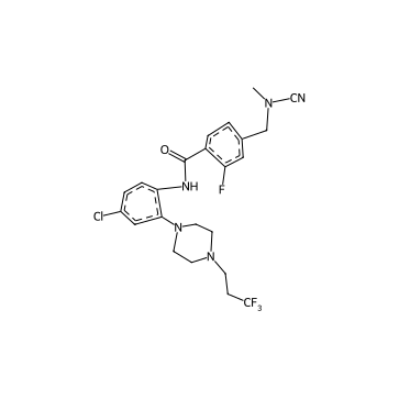 CN(C#N)Cc1ccc(C(=O)Nc2ccc(Cl)cc2N2CCN(CCC(F)(F)F)CC2)c(F)c1